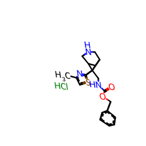 Cc1csc(C2(CNC(=O)OCc3ccccc3)C3CCNCC32)n1.Cl